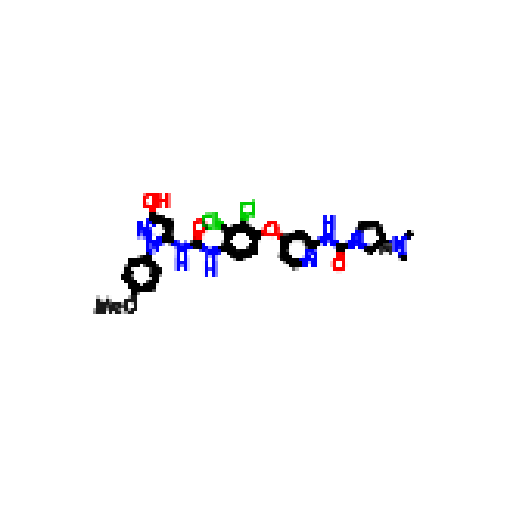 COc1ccc(-n2nc(O)cc2NC(=O)Nc2ccc(Oc3ccnc(NC(=O)N4CC[C@H](N(C)C)C4)c3)c(Cl)c2Cl)cc1